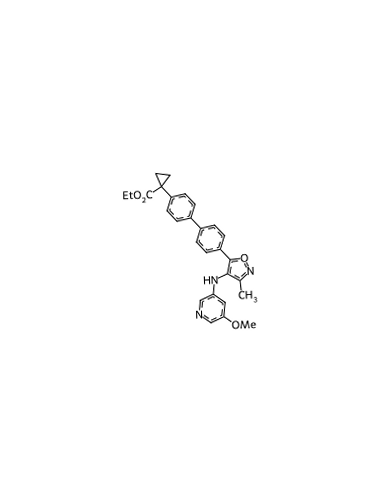 CCOC(=O)C1(c2ccc(-c3ccc(-c4onc(C)c4Nc4cncc(OC)c4)cc3)cc2)CC1